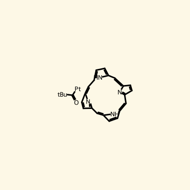 C1=Cc2cc3ccc(cc4nc(cc5ccc(cc1n2)[nH]5)C=C4)[nH]3.CC(C)(C)[C](=O)[Pt]